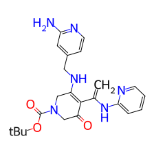 C=C(Nc1ccccn1)C1=C(NCc2ccnc(N)c2)CN(C(=O)OC(C)(C)C)CC1=O